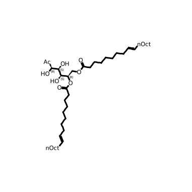 CCCCCCCCC=CCCCCCCCC(=O)OC[C@@H](OC(=O)CCCCCCCC=CCCCCCCCC)[C@@H](O)[C@H](O)[C@@H](O)C(C)=O